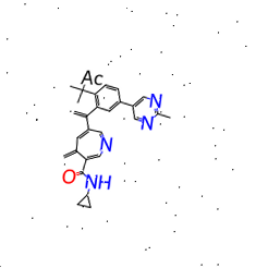 C=C1C=C(C(=C)c2cc(-c3cnc(C)nc3)ccc2C(C)(C)C(C)=O)C=NC=C1C(=O)NC1CC1